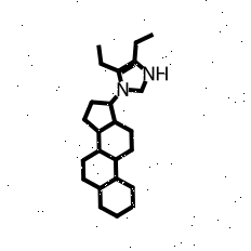 CCC1=C(CC)N(C2CCC3C4CCC5CCCCC5C4CCC32)CN1